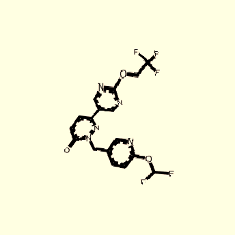 O=c1ccc(-c2cnc(OCC(F)(F)F)nc2)nn1Cc1ccc(OC(F)F)nc1